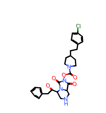 O=C(Cc1ccccc1)C1CNCC2C(=O)N(OC(=O)N3CCC(CCc4ccc(Cl)cc4)CC3)C(=O)N12